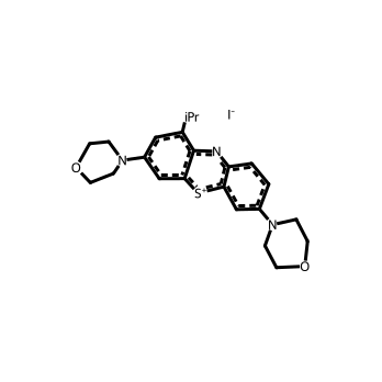 CC(C)c1cc(N2CCOCC2)cc2[s+]c3cc(N4CCOCC4)ccc3nc12.[I-]